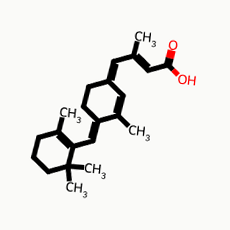 CC(=CC(=O)O)C=C1C=C(C)C(=CC2=C(C)CCCC2(C)C)CC1